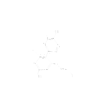 [2H]c1ncc(-c2c(C)cc(C)cc2OCOCC)nn1